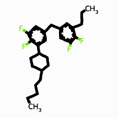 CCCCCC1CCC(c2cc(Cc3cc(F)c(F)c(CCC)c3)cc(F)c2F)CC1